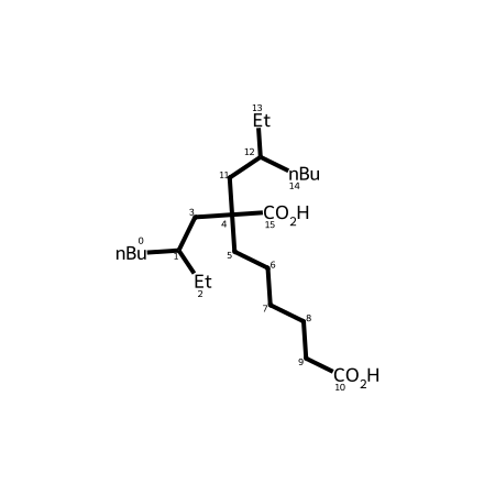 CCCCC(CC)CC(CCCCCC(=O)O)(CC(CC)CCCC)C(=O)O